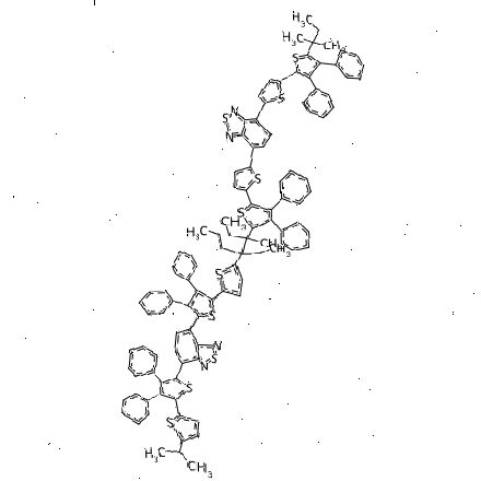 CCCC(CC)(c1ccc(-c2sc(-c3ccc(-c4sc(-c5ccc(C(C)C)s5)c(-c5ccccc5)c4-c4ccccc4)c4nsnc34)c(-c3ccccc3)c2-c2ccccc2)s1)C(C)(CC)c1sc(-c2ccc(-c3ccc(-c4ccc(-c5sc(C(C)(C)CC)c(-c6ccccc6)c5-c5ccccc5)s4)c4nsnc34)s2)c(-c2ccccc2)c1-c1ccccc1